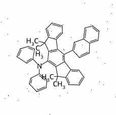 CC1(C)c2ccccc2-c2c(-c3ccc4ccccc4c3)c3c(c(N(c4ccccc4)c4ccccc4)c21)C(C)(C)c1ccccc1-3